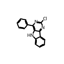 Clc1nc(-c2ccccc2)c2[nH]c3ccccc3c2n1